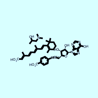 CC(=O)Nc1ccc(C(=O)O)cc1.CC(O)CN(C)C.CC1=C(/C=C/C(C)=C/C=C/C(C)=C/C(=O)O)C(C)(C)CCC1.OC[C@@H]1O[C@H](n2cnc3c(O)ncnc32)[C@@H](O)[C@H]1O